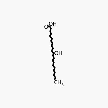 CCCCCCCCCC=CCC(O)CCCCCCCCCCC(=O)O